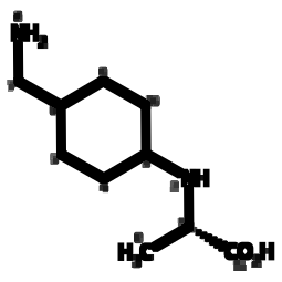 C[C@H](NC1CCC(CN)CC1)C(=O)O